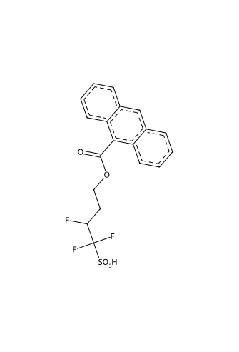 O=C(OCCC(F)C(F)(F)S(=O)(=O)O)c1c2ccccc2cc2ccccc12